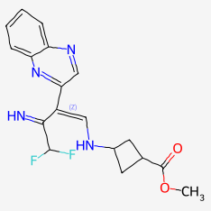 COC(=O)C1CC(N/C=C(\C(=N)C(F)F)c2cnc3ccccc3n2)C1